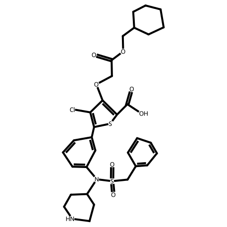 O=C(COc1c(C(=O)O)sc(-c2cccc(N(C3CCNCC3)S(=O)(=O)Cc3ccccc3)c2)c1Cl)OCC1CCCCC1